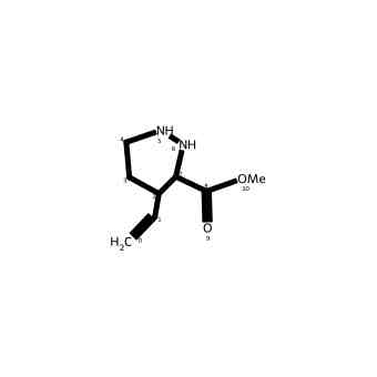 C=CC1CCNNC1C(=O)OC